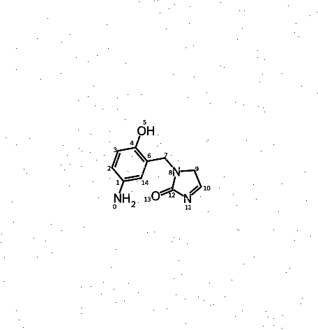 Nc1ccc(O)c(CN2CC=NC2=O)c1